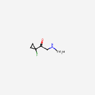 O=C(O)NCC(=O)C1(F)CC1